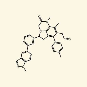 Cc1ccc(-c2c(CC=O)c(C)c3c4c2CC(c2ccnc(-c5ccc6c(cnn6C)c5)c2)N4CC(=O)N3C)cc1